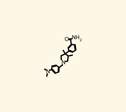 CC1CN(Cc2ccc(N(C)C)cc2)CCC1(C)c1cccc(C(N)=O)c1